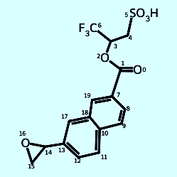 O=C(OC(CS(=O)(=O)O)C(F)(F)F)c1ccc2ccc(C3CO3)cc2c1